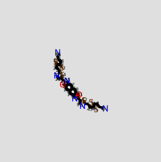 N#Cc1cc2sc(-c3ncc(-c4nc5cc6cc7oc(-c8cnc(-c9cc%10sc(C#N)cc%10s9)s8)nc7cc6cc5o4)s3)cc2s1